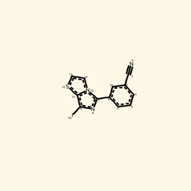 N#Cc1cccc(-c2nc(I)c3sccn23)c1